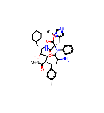 CNC(=O)[C@H](Cc1ccc(C)cc1)C[C@H](O)[C@H](CC1CCCCC1)NC(=O)[C@@](Cc1c[nH]cn1)(C(=O)OC(C)(C)C)N(C(=O)[C@H](C)N)c1ccccc1